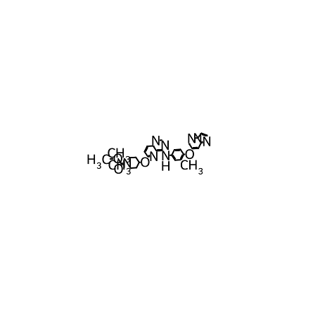 Cc1cc(Nc2ncnc3ccc(OC4CCN(C(=O)OC(C)(C)C)CC4)nc23)ccc1Oc1cnn2ccnc2c1